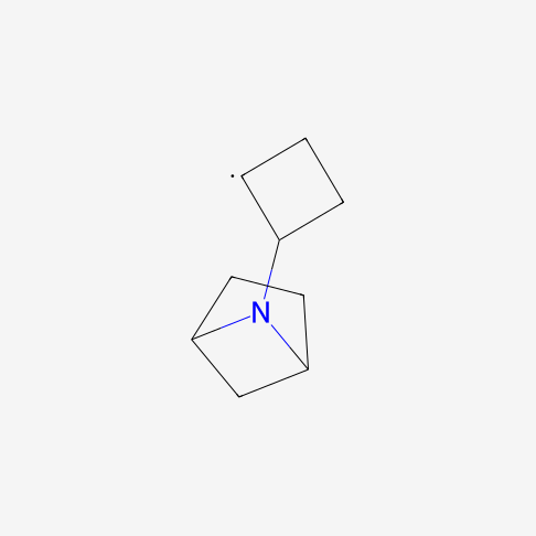 [CH]1CCC1N1C2CCC1C2